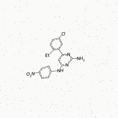 CCc1ccc(Cl)cc1-c1cc(Nc2ccc([N+](=O)[O-])cc2)nc(N)n1